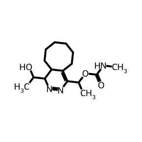 CNC(=O)OC(C)C1=C2CCCCCCC2C(C(C)O)N=N1